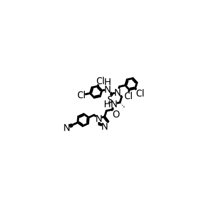 C[C@@H](CN(Cc1cccc(Cl)c1Cl)C(=S)Nc1ccc(Cl)cc1Cl)NC(=O)Cc1cncn1Cc1ccc(C#N)cc1